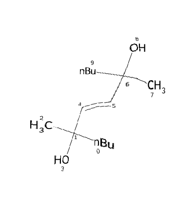 CCCCC(C)(O)/C=C/C(C)(O)CCCC